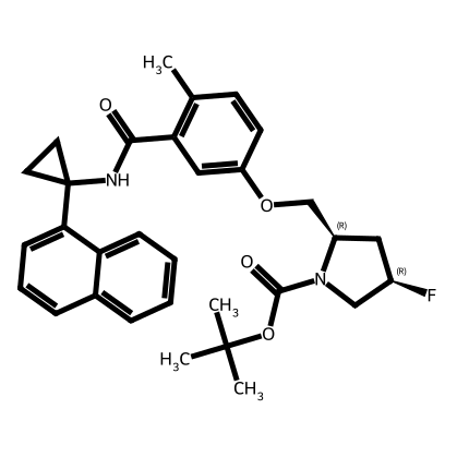 Cc1ccc(OC[C@H]2C[C@@H](F)CN2C(=O)OC(C)(C)C)cc1C(=O)NC1(c2cccc3ccccc23)CC1